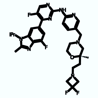 Cc1nc2c(F)cc(-c3nc(Nc4ccc(CN5CCO[C@](C)(CCN6CC(F)(F)C6)C5)cn4)ncc3F)cc2n1C(C)C